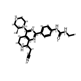 CCNC(=O)Nc1ccc(-c2nc3c(c(N4CCOC[C@@H]4C)n2)CCNC3CC#N)cc1